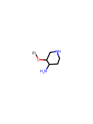 CCOC1CNCCC1N